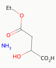 CCOC(=O)CC(O)C(=O)O.N